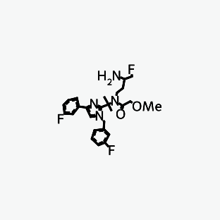 COCC(=O)N(CCC(N)CF)C(C)(C)c1nc(-c2cccc(F)c2)cn1Cc1cccc(F)c1